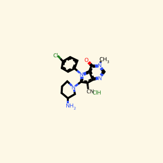 Cl.Cn1cnc2c(C#N)c(N3CCCC(N)C3)n(-c3ccc(Cl)cc3)c2c1=O